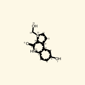 O=c1[nH]c2ccc(O)cc2c2ccn(CO)c12